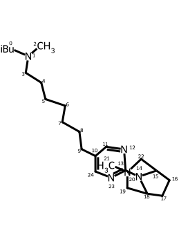 CCC(C)N(C)CCCCCCCc1cnc(N2C3CCC2CN(C)C3)nc1